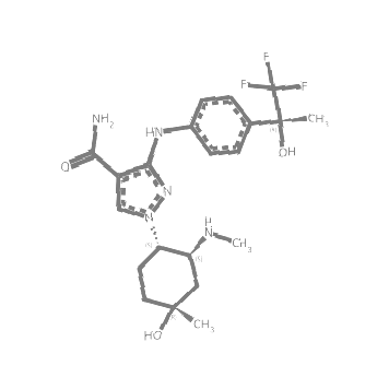 CN[C@H]1C[C@](C)(O)CC[C@@H]1n1cc(C(N)=O)c(Nc2ccc([C@@](C)(O)C(F)(F)F)cc2)n1